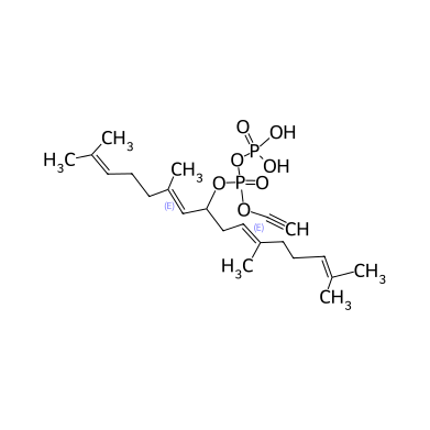 C#COP(=O)(OC(/C=C(\C)CCC=C(C)C)C/C=C(\C)CCC=C(C)C)OP(=O)(O)O